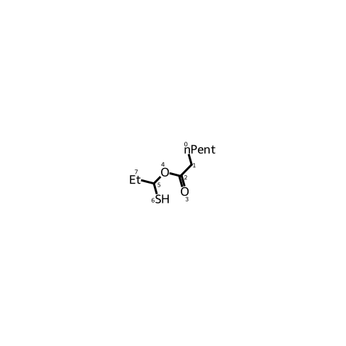 CCCCCCC(=O)OC(S)CC